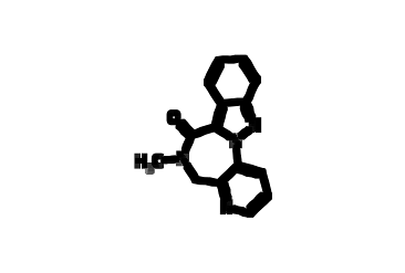 CN1Cc2ncccc2-n2nc3ccccc3c2C1=O